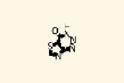 O=c1[nH]nnc2ncsc12